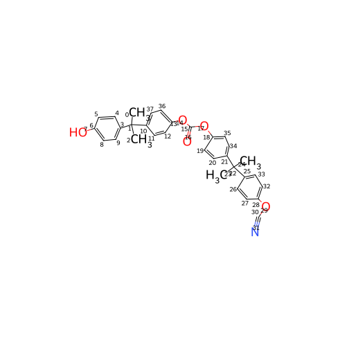 CC(C)(c1ccc(O)cc1)c1ccc(OC(=O)Oc2ccc(C(C)(C)c3ccc(OC#N)cc3)cc2)cc1